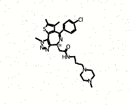 Cc1sc2c(c1C)C(c1ccc(Cl)cc1)=N[C@@H](CC(=O)NCCCN1CCN(C)CC1)c1nnn(C)c1-2